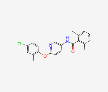 Cc1cc(Cl)ccc1Oc1ccc(NC(=O)c2c(C)cccc2C)cn1